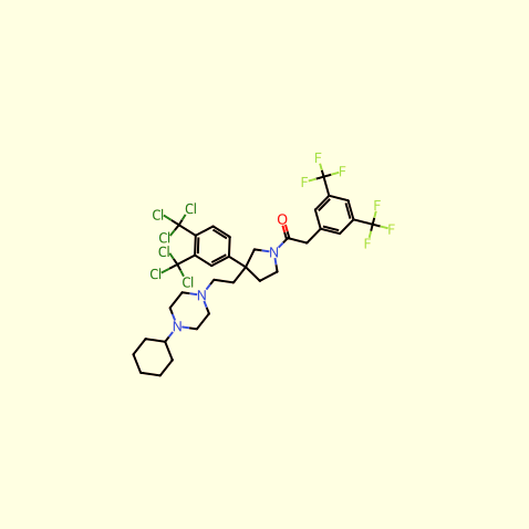 O=C(Cc1cc(C(F)(F)F)cc(C(F)(F)F)c1)N1CCC(CCN2CCN(C3CCCCC3)CC2)(c2ccc(C(Cl)(Cl)Cl)c(C(Cl)(Cl)Cl)c2)C1